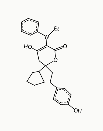 CCN(C1=C(O)CC(CCc2ccc(O)cc2)(C2CCCC2)OC1=O)c1ccccc1